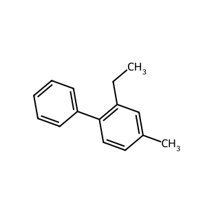 CCc1cc(C)ccc1-c1ccccc1